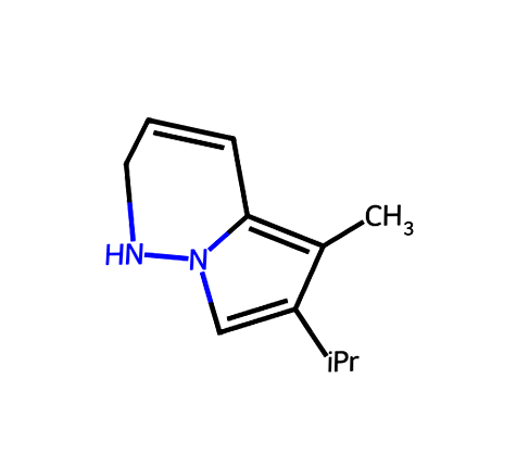 Cc1c(C(C)C)cn2c1C=CCN2